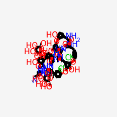 CC(=O)N[C@H]1[C@H](O[C@@H]2c3ccc(c(Cl)c3)Oc3cc4cc(c3O)Oc3ccc(cc3Cl)C[C@H]3NC(=O)[C@H](N)c5ccc(O)c(c5)Oc5cc(O)c(Cl)c(c5)[C@H](NC3=O)C(=O)N[C@H]4C(=O)N[C@H]3C(=O)N[C@@H]2C(=O)N[C@@H](C(=O)NCCCN(C)C)c2cc(O)cc(O[C@H]4O[C@H](CO)[C@@H](O)[C@H](O)[C@@H]4O)c2-c2cc3ccc2O)O[C@H](CO)[C@@H](O)[C@@H]1O